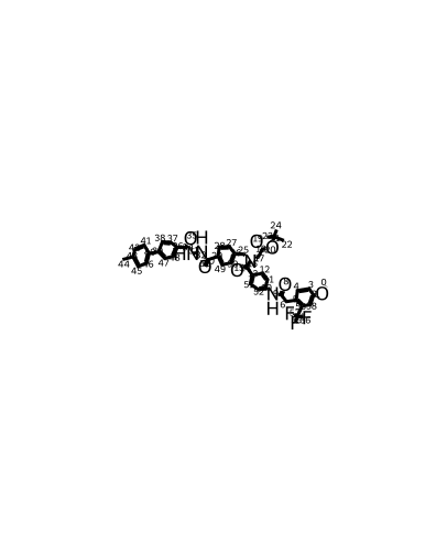 COc1ccc(CC(=O)Nc2ccc(C(=O)N(CC(=O)OC(C)(C)C)Cc3ccc(C(=O)NNC(=O)c4ccc(-c5ccc(C)cc5)cc4)cc3)cc2)c(C(F)(F)F)c1